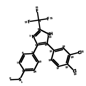 CSc1ccc(-c2nc(C(F)(F)F)[nH]c2-c2ccc(Cl)c(Cl)c2)cc1